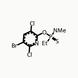 CCP(=S)(NC)Oc1nc(Cl)c(Br)cc1Cl